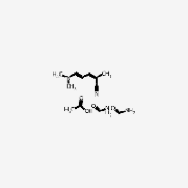 CC(=O)O.CC(C#N)=CC=CN(C)C.NC=O.NC=O